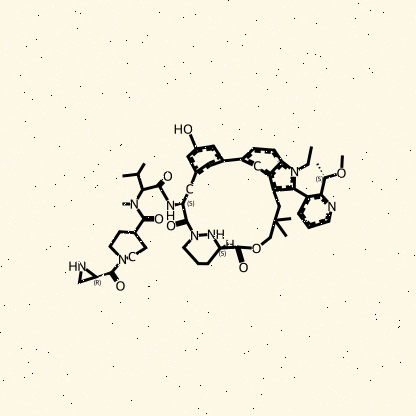 CCn1c(-c2cccnc2[C@H](C)OC)c2c3cc(ccc31)-c1cc(O)cc(c1)C[C@H](NC(=O)C(C(C)C)N(C)C(=O)C1CCN(C(=O)[C@H]3CN3)CC1)C(=O)N1CCC[C@H](N1)C(=O)OCC(C)(C)C2